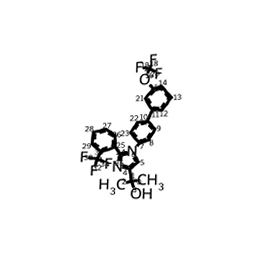 CC(C)(O)c1cn(-c2ccc(-c3cccc(OC(F)(F)F)c3)cc2)c(-c2ccccc2C(F)(F)F)n1